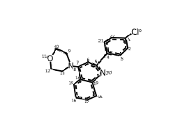 Clc1ccc(-c2cc(N3CCOCC3)c3ccccc3n2)cc1